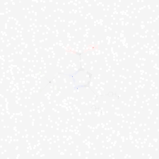 CC(C)c1cc(C(=O)O)n(CC(F)(F)F)n1